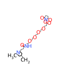 C=Cc1cc(C)nc(CCC(=O)NCCOCCOCCOCCOCCC(=O)ON2C(=O)CCC2=O)c1